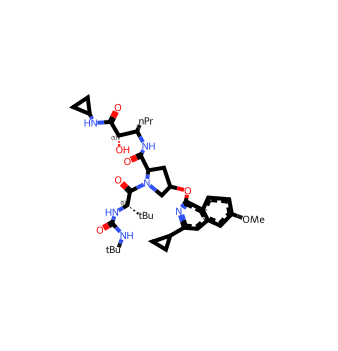 CCCC(NC(=O)C1CC(Oc2nc(C3CC3)cc3cc(OC)ccc23)CN1C(=O)[C@@H](NC(=O)NC(C)(C)C)C(C)(C)C)[C@H](O)C(=O)NC1CC1